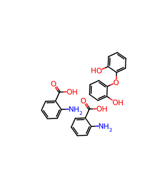 Nc1ccccc1C(=O)O.Nc1ccccc1C(=O)O.Oc1ccccc1Oc1ccccc1O